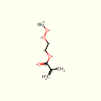 C=C(C)C(=O)OC[CH]OOC(C)(C)C